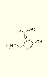 C=CC(=O)OC(C)=O.NCCc1ccc(O)cc1